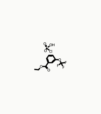 CCOC(=O)c1cccc(OC(F)(F)F)c1.O=S(=O)(O)Cl